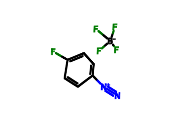 F[B-](F)(F)F.N#[N+]c1ccc(F)cc1